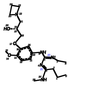 CCC/C(=N\C(=N/CC)Nc1ccc(OC)c(OC[C@H](O)CN2CCC2)c1)NC